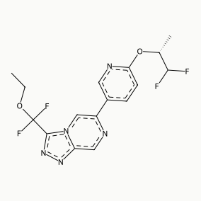 CCOC(F)(F)c1nnc2cnc(-c3ccc(O[C@H](C)C(F)F)nc3)cn12